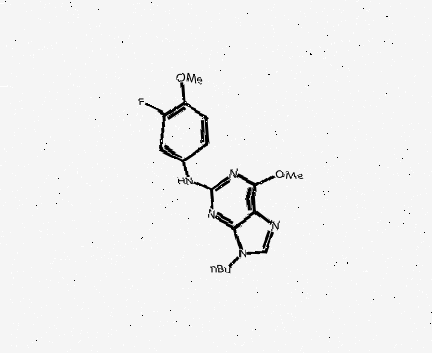 CCCCn1cnc2c(OC)nc(Nc3ccc(OC)c(F)c3)nc21